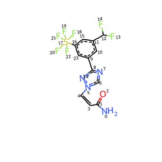 NC(=O)/C=C\n1cnc(-c2cc(C(F)F)cc(S(F)(F)(F)(F)F)c2)n1